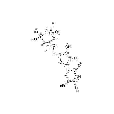 CCCn1cc([C@@H]2O[C@H](COP3(=O)OP(=O)(O)OP(=O)(O)O3)[C@H](O)[C@@H]2O)c(=O)[nH]c1=O